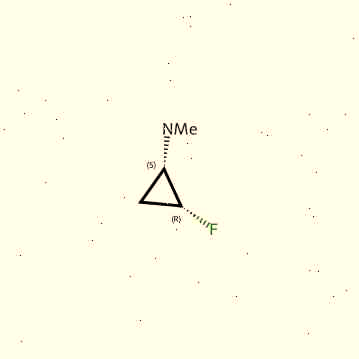 CN[C@H]1C[C@H]1F